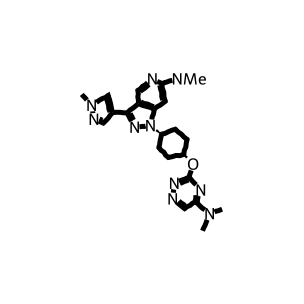 CNc1cc2c(cn1)c(-c1cnn(C)c1)nn2[C@H]1CC[C@@H](Oc2nncc(N(C)C)n2)CC1